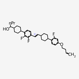 C=CCCOc1ccc(C2CCC(/C=C/c3ccc(C4CCC(C(O)CCC)CC4)c(F)c3F)CC2)c(F)c1